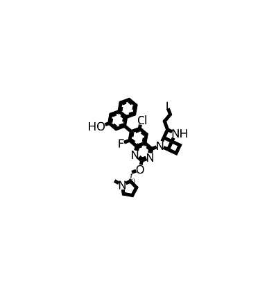 CN1CCC[C@H]1COc1nc(N2C3CCC34NC(CCI)C24)c2cc(Cl)c(-c3cc(O)cc4ccccc34)c(F)c2n1